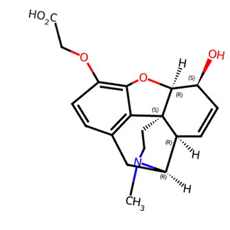 CN1CC[C@]23c4c5ccc(OCC(=O)O)c4O[C@H]2[C@@H](O)C=C[C@H]3[C@H]1C5